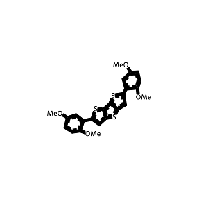 COc1ccc(OC)c(-c2cc3sc4cc(-c5cc(OC)ccc5OC)sc4c3s2)c1